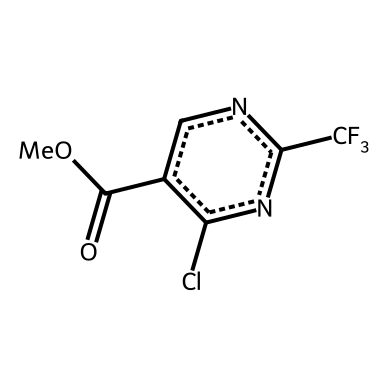 COC(=O)c1cnc(C(F)(F)F)nc1Cl